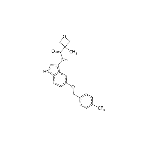 CC1(C(=O)Nc2c[nH]c3ccc(OCc4ccc(C(F)(F)F)cc4)cc23)COC1